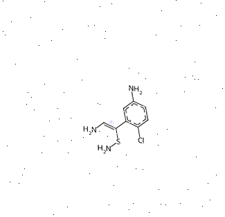 N/C=C(\SN)c1cc(N)ccc1Cl